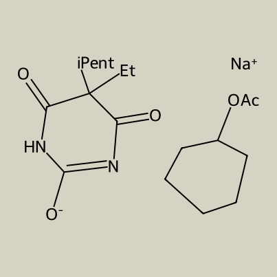 CC(=O)OC1CCCCC1.CCCC(C)C1(CC)C(=O)N=C([O-])NC1=O.[Na+]